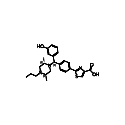 CCCN1C[C@H](C)N([C@H](c2ccc(-c3nc(C(=O)O)cs3)cc2)c2cccc(O)c2)C[C@H]1C